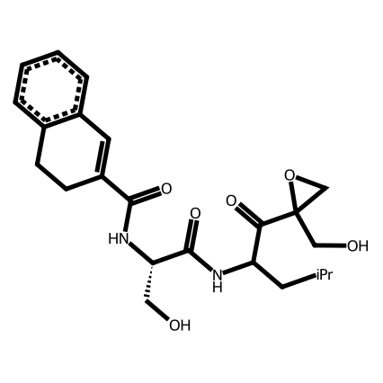 CC(C)CC(NC(=O)[C@H](CO)NC(=O)C1=Cc2ccccc2CC1)C(=O)C1(CO)CO1